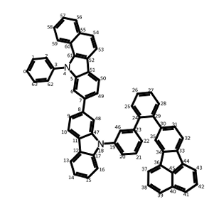 c1ccc(-n2c3cc(-c4ccc5c6ccccc6n(-c6cccc(-c7ccccc7-c7ccc8c(c7)-c7cccc9cccc-8c79)c6)c5c4)ccc3c3ccc4ccccc4c32)cc1